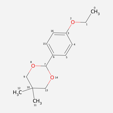 CCOc1ccc(C2OCC(C)(C)CO2)cc1